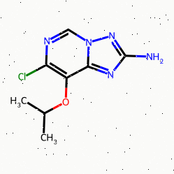 CC(C)Oc1c(Cl)ncn2nc(N)nc12